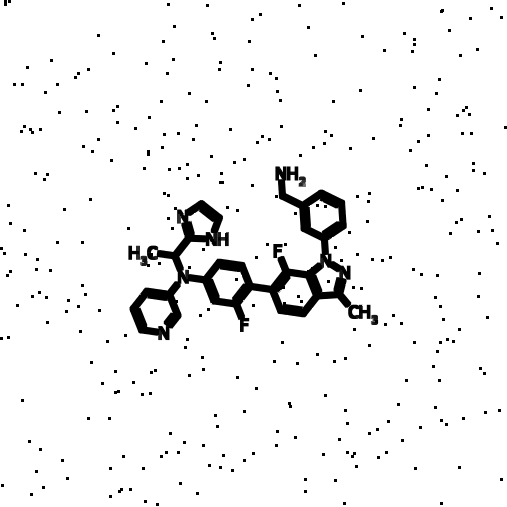 Cc1nn(-c2cccc(CN)c2)c2c(F)c(-c3ccc(N(c4cccnc4)C(C)c4ncc[nH]4)cc3F)ccc12